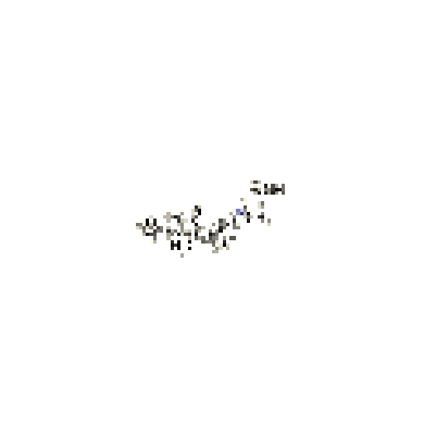 [2H]C(C)(C)N(Cc1ccccc1OC/C=C(\C)CCC(=O)O)C(=O)c1ccc(-c2ccco2)cc1